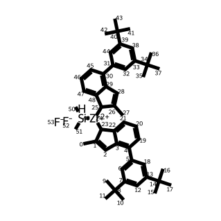 CC1=Cc2c(-c3cc(C(C)(C)C)cc(C(C)(C)C)c3)cccc2[CH]1[Zr+2]([CH]1C(C)=Cc2c(-c3cc(C(C)(C)C)cc(C(C)(C)C)c3)cccc21)[SiH](C)C.[F-].[F-]